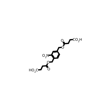 O=C(O)CCC(=O)OCc1ccc(COC(=O)CCC(=O)O)c([N+](=O)[O-])c1